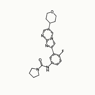 O=C(Nc1ccc(F)c(-c2cn3cc(C4CCOCC4)cnc3n2)c1)N1CCCC1